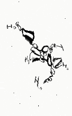 COCCCOc1cc(C(=O)N(C(C)C)C2CN(C(=O)O)CCC2COCc2cccc(OC)c2)ccc1OC